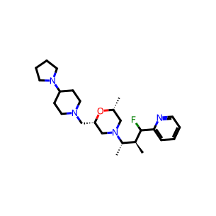 C[C@@H]1CN([C@@H](C)[C@H](C)C(F)c2ccccn2)C[C@H](CN2CCC(N3CCCC3)CC2)O1